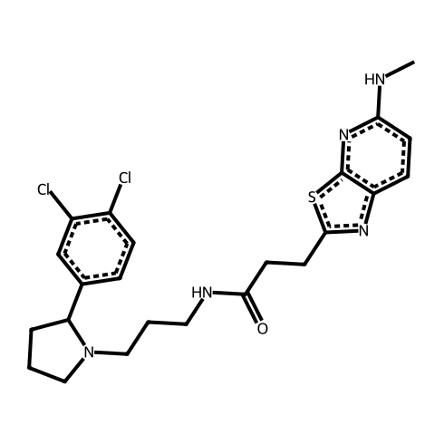 CNc1ccc2nc(CCC(=O)NCCCN3CCCC3c3ccc(Cl)c(Cl)c3)sc2n1